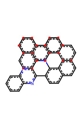 c1ccc2c(N3c4c(ccc5ccccc45)-c4cccc5cccc3c45)c(-c3nc4ccccc4nc3-c3cc4ccccc4c4ccccc34)ccc2c1